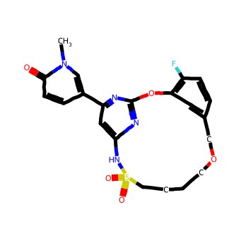 Cn1cc(-c2cc3nc(n2)Oc2cc(ccc2F)COCCCCS(=O)(=O)N3)ccc1=O